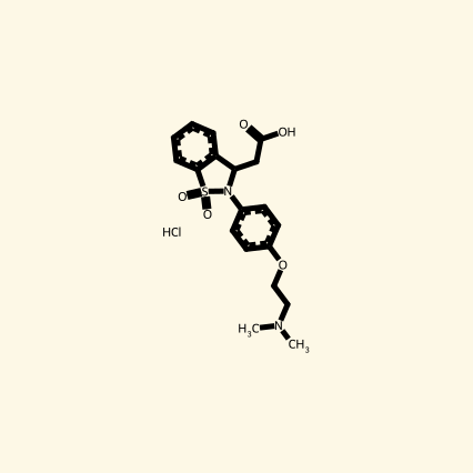 CN(C)CCOc1ccc(N2C(CC(=O)O)c3ccccc3S2(=O)=O)cc1.Cl